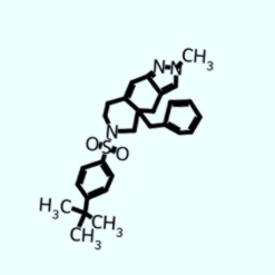 Cn1cc2c(n1)C=C1CCN(S(=O)(=O)c3ccc(C(C)(C)C)cc3)CC1(Cc1ccccc1)C2